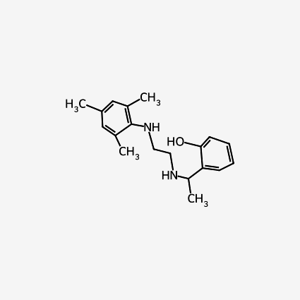 Cc1cc(C)c(NCCNC(C)c2ccccc2O)c(C)c1